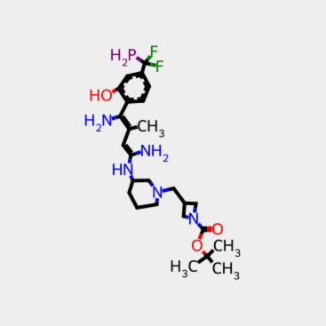 CC(/C=C(\N)NC1CCCN(CC2CN(C(=O)OC(C)(C)C)C2)C1)=C(/N)c1ccc(C(F)(F)P)cc1O